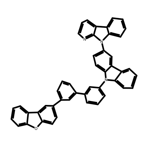 c1cc(-c2cccc(-n3c4ccccc4c4cc(-n5c6ccccc6c6cccnc65)ccc43)c2)cc(-c2ccc3oc4ccccc4c3c2)c1